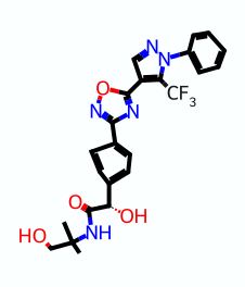 CC(C)(CO)NC(=O)[C@@H](O)c1ccc(-c2noc(-c3cnn(-c4ccccc4)c3C(F)(F)F)n2)cc1